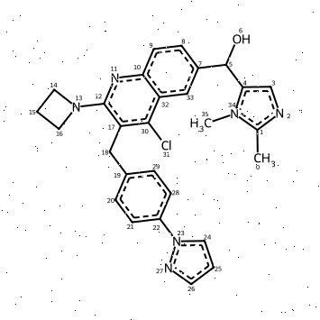 Cc1ncc(C(O)c2ccc3nc(N4CCC4)c(Cc4ccc(-n5cccn5)cc4)c(Cl)c3c2)n1C